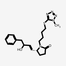 Cn1nnnc1SCCCCN1C(=O)CC[C@@H]1/C=C/C(O)Cc1ccccc1